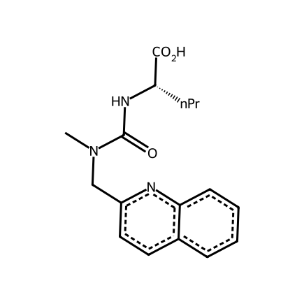 CCC[C@H](NC(=O)N(C)Cc1ccc2ccccc2n1)C(=O)O